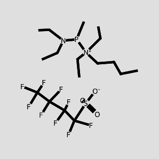 CCCC[N+](CC)(CC)P(C)N(CC)CC.O=S(=O)([O-])C(F)(F)C(F)(F)C(F)(F)C(F)(F)F